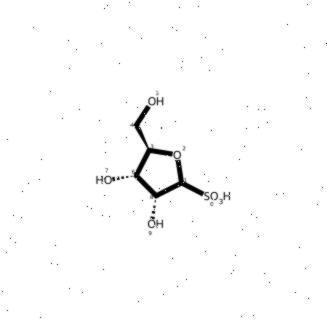 O=S(=O)(O)C1O[C@H](CO)[C@@H](O)[C@H]1O